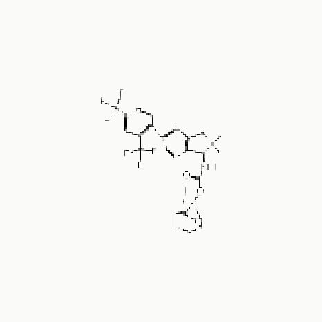 CC1(C)Cc2cc(-c3ccc(C(F)(F)F)cc3C(F)(F)F)ccc2C1NC(=O)O[C@H]1CN2CCC1CC2